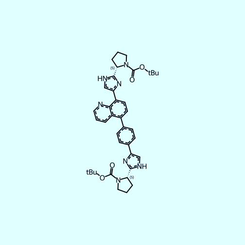 CC(C)(C)OC(=O)N1CCC[C@H]1c1nc(-c2ccc(-c3ccc(-c4c[nH]c([C@@H]5CCCN5C(=O)OC(C)(C)C)n4)c4ncccc34)cc2)c[nH]1